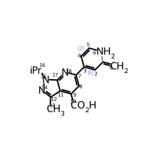 C=C/C=C(\C=C/N)c1cc(C(=O)O)c2c(C)nn(C(C)C)c2n1